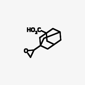 O=C(O)C12CC3CC(C1)CC(C1CO1)(C3)C2